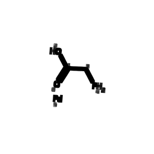 O=C(O)CP.[Pd]